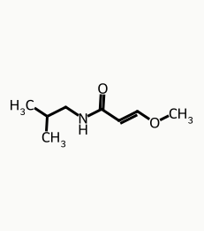 COC=CC(=O)NCC(C)C